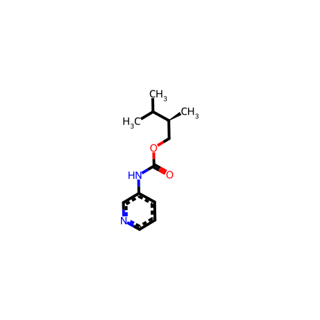 CC(C)[C@@H](C)COC(=O)Nc1cccnc1